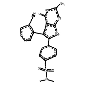 CN(C)S(=O)(=O)c1ccc(-c2[nH]c3nc(N)[nH]c(=O)c3c2-c2ccccc2C#N)cc1